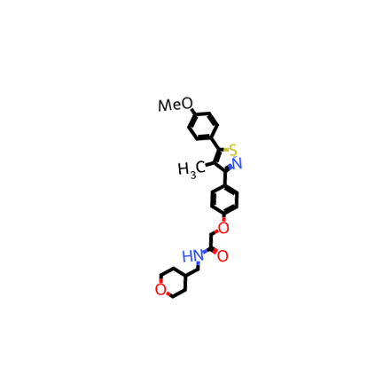 COc1ccc(-c2snc(-c3ccc(OCC(=O)NCC4CCOCC4)cc3)c2C)cc1